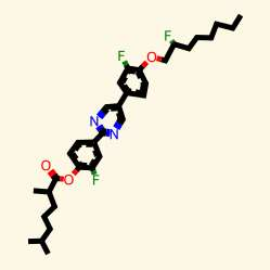 CCCCCCC(F)COc1ccc(-c2cnc(-c3ccc(OC(=O)C(C)CCCC(C)C)c(F)c3)nc2)cc1F